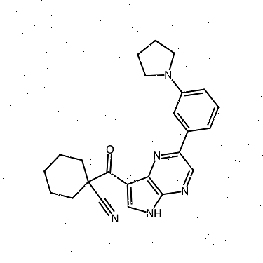 N#CC1(C(=O)c2c[nH]c3ncc(-c4cccc(N5CCCC5)c4)nc23)CCCCC1